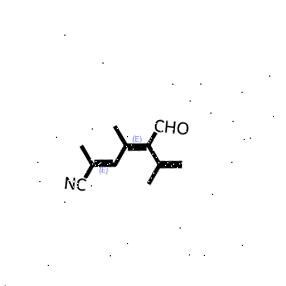 C=C(C)/C(C=O)=C(C)\C=C(/C)C#N